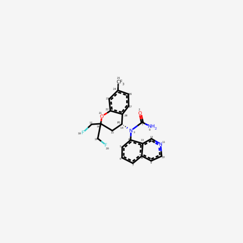 NC(=O)N(c1cccc2ccncc12)[C@@H]1CC(CF)(CF)Oc2cc(C(F)(F)F)ccc21